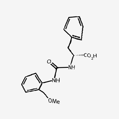 COc1ccccc1NC(=O)N[C@H](Cc1ccccc1)C(=O)O